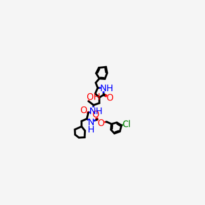 O=C(NC(CC1CCCCC1)C(=O)NC(CO)CC1CC(Cc2ccccc2)NC1=O)OCc1cccc(Cl)c1